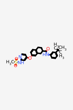 CC(C)(C)c1cccc(NC(=O)C2CCc3ccc(Oc4ccnc(NS(C)(=O)=O)c4)cc3C2)c1